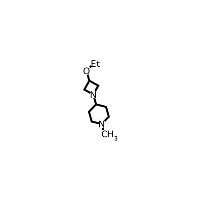 CCOC1CN(C2CCN(C)CC2)C1